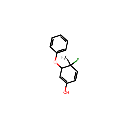 OC1=CC(Oc2ccccc2)C(F)(C(F)(F)F)C=C1